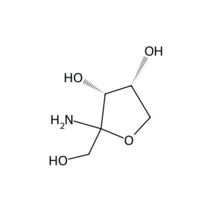 NC1(CO)OC[C@@H](O)[C@H]1O